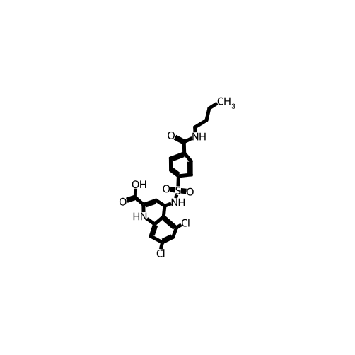 CCCCNC(=O)c1ccc(S(=O)(=O)NC2C=C(C(=O)O)Nc3cc(Cl)cc(Cl)c32)cc1